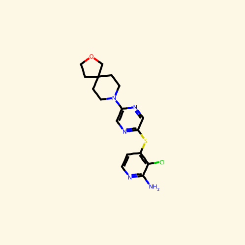 Nc1nccc(Sc2cnc(N3CCC4(CCOC4)CC3)cn2)c1Cl